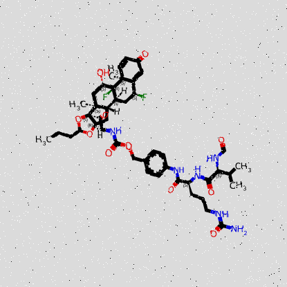 CCCC1O[C@@H]2C[C@H]3[C@@H]4C[C@H](F)C5=CC(=O)C=C[C@]5(C)[C@@]4(F)[C@@H](O)C[C@]3(C)[C@]2(C(=O)CNC(=O)OCc2ccc(NC(=O)[C@H](CCCNC(N)=O)NC(=O)[C@@H](NC=O)C(C)C)cc2)O1